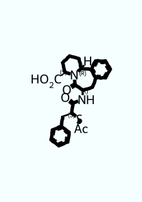 CC(=O)S[C@@H](Cc1ccccc1)C(=O)N[C@@H]1Cc2ccccc2[C@H]2CCC[C@@H](C(=O)O)N2C1=O